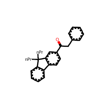 CCCC1(CCC)c2ccccc2-c2ccc(C(=O)Cc3ccccc3)cc21